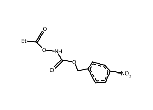 CCC(=O)ONC(=O)OCc1ccc([N+](=O)[O-])cc1